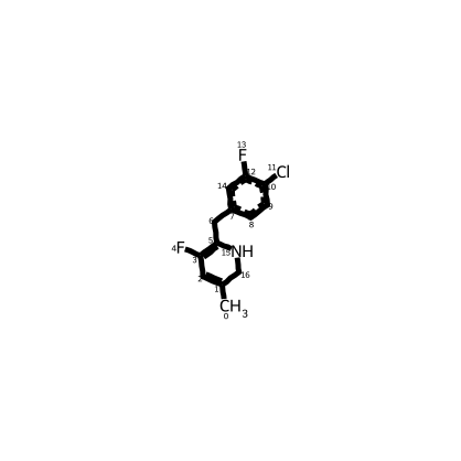 CC1=CC(F)=C(Cc2ccc(Cl)c(F)c2)NC1